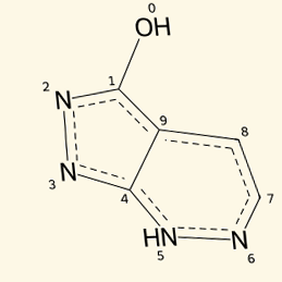 Oc1nnc2[nH]nccc1-2